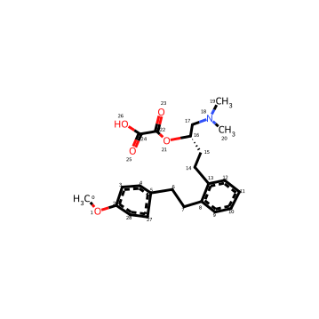 COc1ccc(CCc2ccccc2CC[C@@H](CN(C)C)OC(=O)C(=O)O)cc1